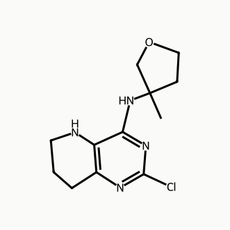 CC1(Nc2nc(Cl)nc3c2NCCC3)CCOC1